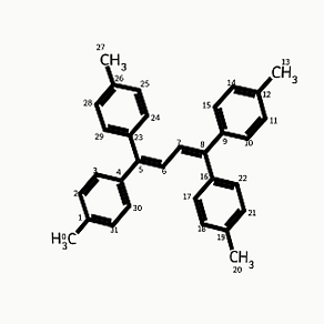 Cc1ccc(C(=CC=C(c2ccc(C)cc2)c2ccc(C)cc2)c2ccc(C)cc2)cc1